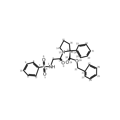 O=C(CNS(=O)(=O)c1ccccc1)N1CCC[C@]1(C(=O)OCc1ccccc1)c1ccccc1